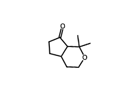 CC1(C)OCCC2CCC(=O)C21